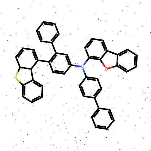 C1=CC2Sc3ccccc3C2C(c2ccc(N(c3ccc(-c4ccccc4)cc3)c3cccc4c3oc3ccccc34)cc2-c2ccccc2)=C1